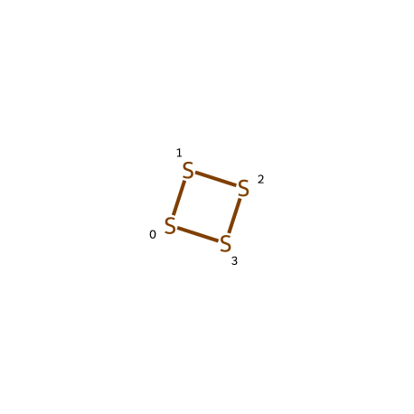 S1SSS1